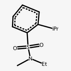 CCN(C)S(=O)(=O)c1ccccc1C(C)C